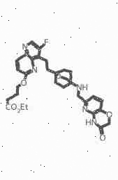 CCOC(=O)CCCOc1ccc2ncc(F)c(CCC34CCC(NCc5ccc6c(n5)NC(=O)CO6)(CC3)CO4)c2n1